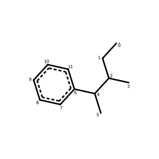 [CH2]CC(C)C(C)c1ccccc1